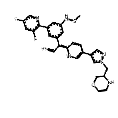 CSNc1cc(/C(C=N)=C2\C=CC(c3cnn(CC4COCCN4)c3)=CN2)cc(-c2ncc(F)cc2F)c1